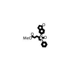 COC(=O)CCC1CN(c2ccccc2)C(=O)N1c1ccc2c(c1)CCC2=O